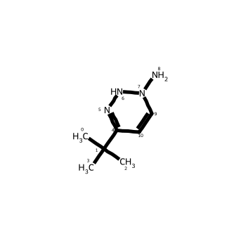 CC(C)(C)C1=NNN(N)C=C1